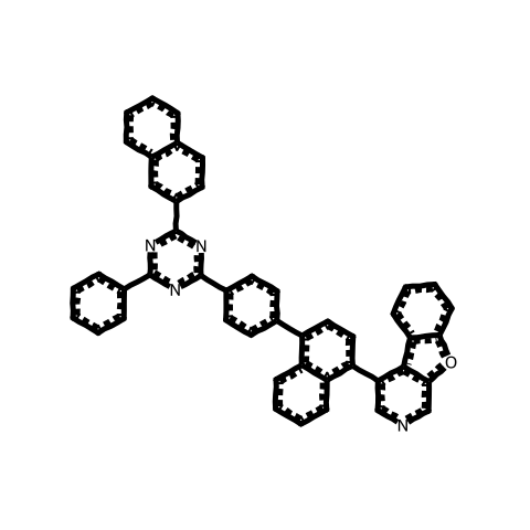 c1ccc(-c2nc(-c3ccc(-c4ccc(-c5cncc6oc7ccccc7c56)c5ccccc45)cc3)nc(-c3ccc4ccccc4c3)n2)cc1